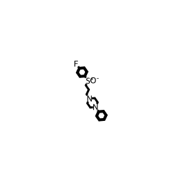 [O-][S+](CCCN1CCN(c2ccccc2)CC1)c1ccc(F)cc1